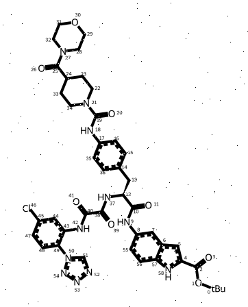 CC(C)(C)OC(=O)c1cc2cc(NC(=O)[C@H](Cc3ccc(NC(=O)N4CCC(C(=O)N5CCOCC5)CC4)cc3)NC(=O)C(=O)Nc3cc(Cl)ccc3-n3cnnn3)ccc2[nH]1